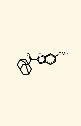 COc1ccc2cc(C(=O)C34CC5CC(CC(C5)C3)C4)oc2c1